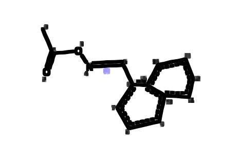 CC(=O)O/N=C/c1cccc2ccccc12